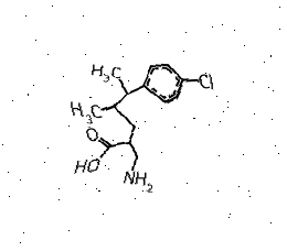 CC(CC(CN)C(=O)O)C(C)c1ccc(Cl)cc1